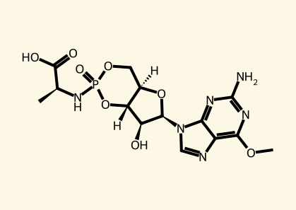 COc1nc(N)nc2c1ncn2[C@@H]1O[C@@H]2COP(=O)(N[C@@H](C)C(=O)O)O[C@H]2[C@@H]1O